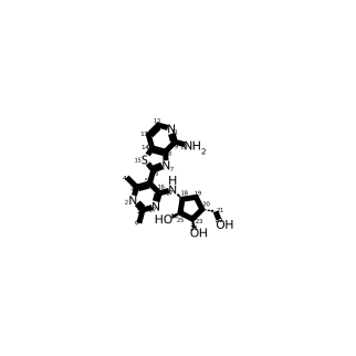 Cc1nc(C)c(-c2nc3c(N)nccc3s2)c(N[C@@H]2C[C@H](CO)[C@@H](O)[C@H]2O)n1